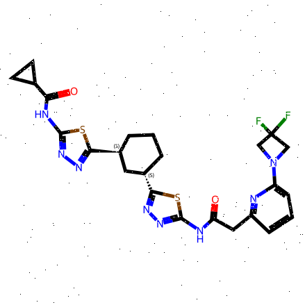 O=C(Cc1cccc(N2CC(F)(F)C2)n1)Nc1nnc([C@H]2CCC[C@H](c3nnc(NC(=O)C4CC4)s3)C2)s1